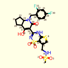 CS(=O)(=O)NCc1csc2c1S(=O)(=O)N=C(C1=C(O)C3CCCC3N(Cc3ccc(F)cc3F)C1=O)N2